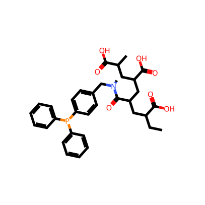 CCC(CC(CC(CC(C)C(=O)O)C(=O)O)C(=O)N(C)Cc1ccc(P(c2ccccc2)c2ccccc2)cc1)C(=O)O